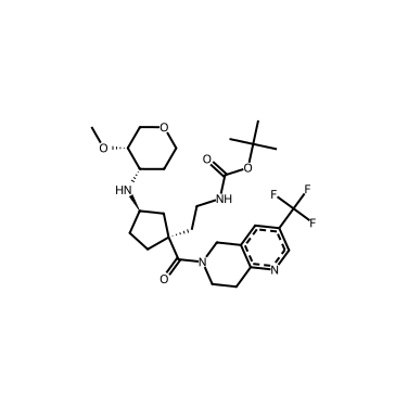 CO[C@@H]1COCC[C@@H]1N[C@@H]1CC[C@](CCNC(=O)OC(C)(C)C)(C(=O)N2CCc3ncc(C(F)(F)F)cc3C2)C1